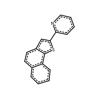 c1ccc(-c2cc3ccc4ccccc4c3s2)nc1